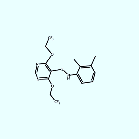 Cc1cccc(NSc2c(OCC(F)(F)F)ncnc2OCC(F)(F)F)c1C